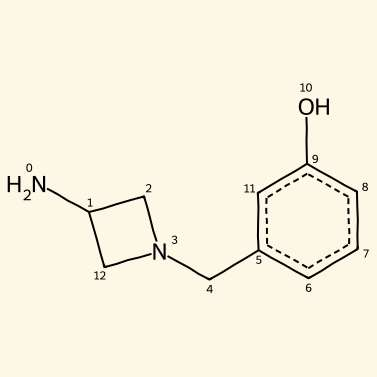 NC1CN(Cc2cccc(O)c2)C1